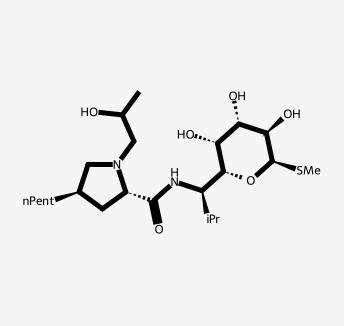 CCCCC[C@@H]1C[C@@H](C(=O)N[C@H](C(C)C)[C@H]2O[C@H](SC)[C@H](O)[C@@H](O)[C@H]2O)N(CC(C)O)C1